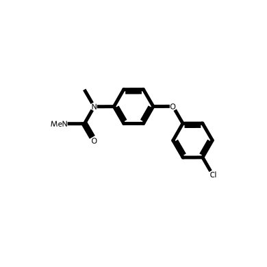 CNC(=O)N(C)c1ccc(Oc2ccc(Cl)cc2)cc1